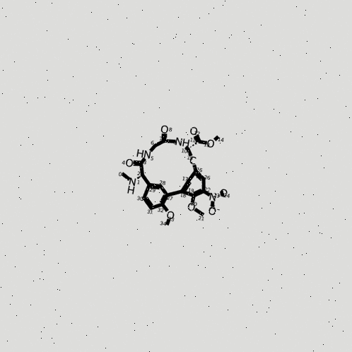 CN[C@@H]1C(=O)NCC(=O)N[C@H](C(=O)OC)Cc2cc(c(OC)c([N+](=O)[O-])c2)-c2cc1ccc2OC